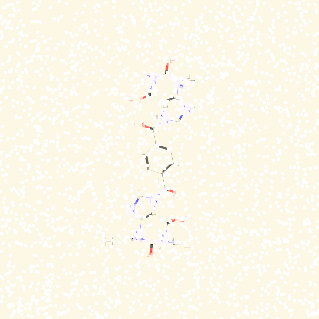 Cn1c(=O)c2c(ncn2C(=O)c2ccc(C(=O)n3cnc4c3c(=O)n(C)c(=O)n4C)cc2)n(C)c1=O